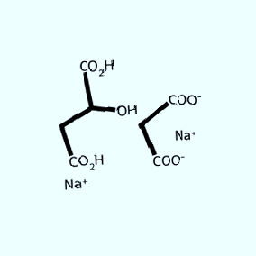 O=C(O)CC(O)C(=O)O.O=C([O-])CC(=O)[O-].[Na+].[Na+]